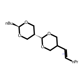 CCC/C=C/C1COC([C@H]2CO[C@H](CCCC)OC2)OC1